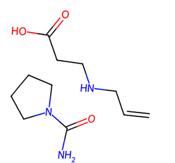 C=CCNCCC(=O)O.NC(=O)N1CCCC1